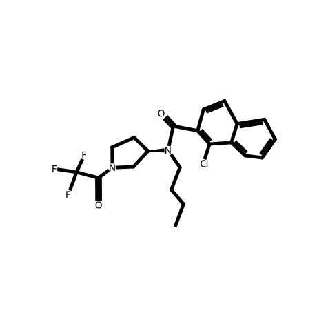 CCCCN(C(=O)c1ccc2ccccc2c1Cl)[C@@H]1CCN(C(=O)C(F)(F)F)C1